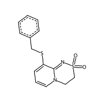 O=S1(=O)CCN2C=CC=C(SCc3ccccc3)C2=N1